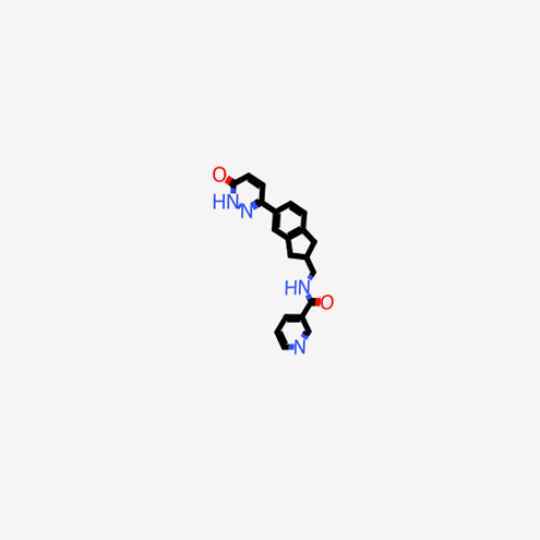 O=C(NCC1Cc2ccc(-c3ccc(=O)[nH]n3)cc2C1)c1cccnc1